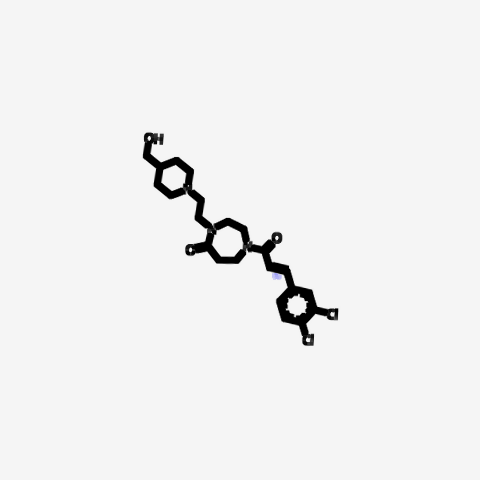 O=C(/C=C/c1ccc(Cl)c(Cl)c1)N1CCC(=O)N(CCN2CCC(CO)CC2)CC1